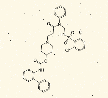 O=C(Nc1ccccc1-c1ccccc1)OC1CCN(CCC(=O)N(CNS(=O)(=O)c2c(Cl)cccc2Cl)c2ccccc2)CC1